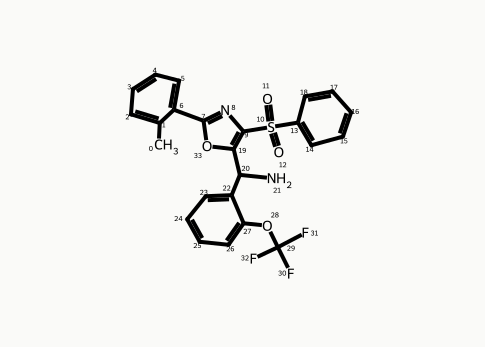 Cc1ccccc1-c1nc(S(=O)(=O)c2ccccc2)c(C(N)c2ccccc2OC(F)(F)F)o1